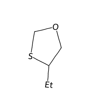 CCC1COCS1